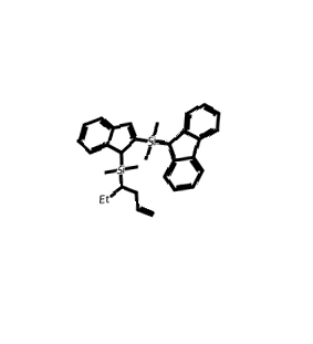 C=CCC(CC)[Si](C)(C)C1C([Si](C)(C)C2c3ccccc3-c3ccccc32)=Cc2ccccc21